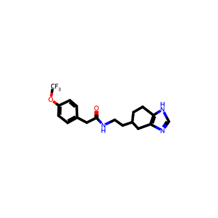 O=C(Cc1ccc(OC(F)(F)F)cc1)NCCC1CCc2[nH]cnc2C1